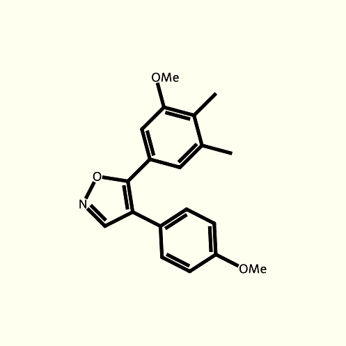 COc1ccc(-c2cnoc2-c2cc(C)c(C)c(OC)c2)cc1